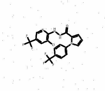 O=C(NNc1ncc(C(F)(F)F)cc1Cl)c1cccn1-c1ccc(C(F)(F)F)cc1